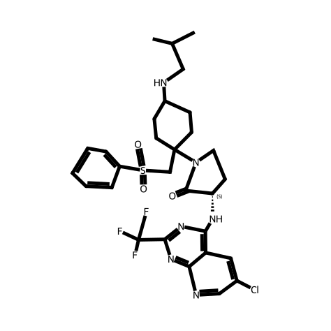 CC(C)CNC1CCC(CS(=O)(=O)c2ccccc2)(N2CC[C@H](Nc3nc(C(F)(F)F)nc4ncc(Cl)cc34)C2=O)CC1